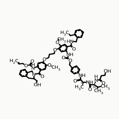 C=CCOC(=O)Nc1cc(OCCCOc2cc(NC(=O)OCc3ccc(NC(=O)[C@H](C)NC(=O)[C@@H](NC(=O)CCO)C(C)C)cc3)c(C(=O)NCc3ccccc3CC)cc2OC)c(OC)cc1C(=O)N1Cc2ccccc2CC1CO